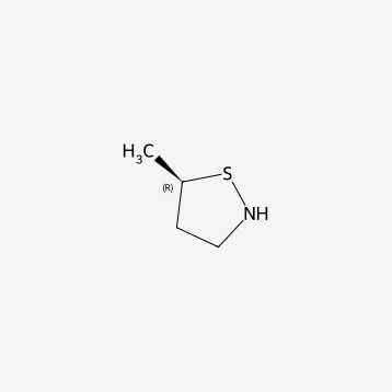 C[C@@H]1CCNS1